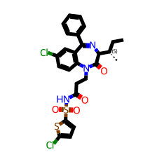 CC[C@H](C)C1N=C(c2ccccc2)c2cc(Cl)ccc2N(CCC(=O)NS(=O)(=O)c2ccc(Cl)s2)C1=O